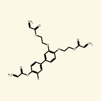 C=CC(=O)OCCOc1ccc(-c2ccc(OC(=O)C=C)c(F)c2)cc1OCCOC(=O)C=C